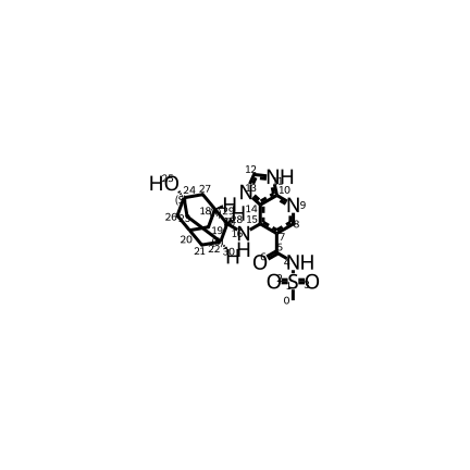 CS(=O)(=O)NC(=O)c1cnc2[nH]cnc2c1N[C@H]1[C@@H]2CC3C[C@H]1C[C@@](O)(C3)C2